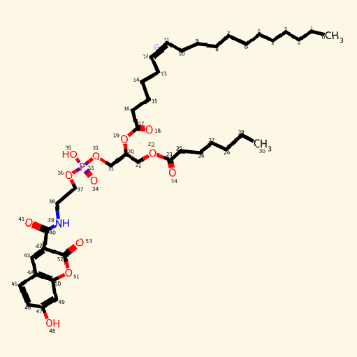 CCCCCCCCCCC/C=C\CCCCC(=O)OC(COC(=O)CCCCCC)COP(=O)(O)OCCNC(=O)c1cc2ccc(O)cc2oc1=O